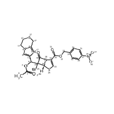 CC(=O)OC(c1cn2c(n1)CSCC2)C1(Br)C(=O)N2C(C(=O)OCc3ccc([N+](=O)[O-])cc3)=CS[C@@H]21